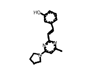 Cc1cc(N2CCCC2)nc(/C=C/c2cccc(O)c2)n1